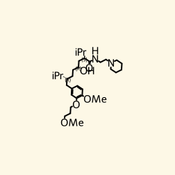 COCCCOc1cc(C[C@@H](CC[C@@H](O)C[C@H](C(=O)NCCN2CCCCC2)C(C)C)C(C)C)ccc1OC